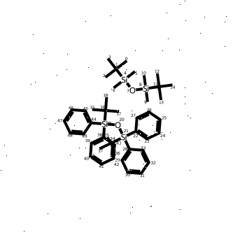 CC(C)(C)[Si](C)(C)O[Si](C)(C)C(C)(C)C.CC(C)(C)[Si](O[Si](c1ccccc1)(c1ccccc1)C(C)(C)C)(c1ccccc1)c1ccccc1